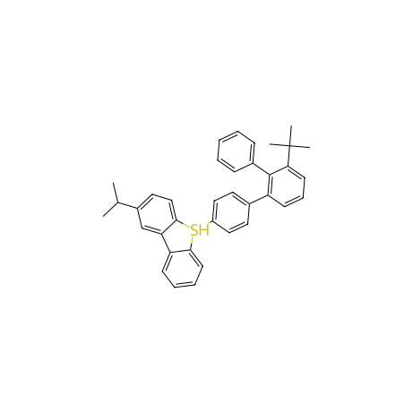 CC(C)c1ccc2c(c1)-c1ccccc1[SH]2c1ccc(-c2cccc(C(C)(C)C)c2-c2ccccc2)cc1